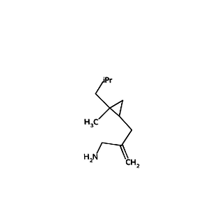 C=C(CN)CC1CC1(C)CC(C)C